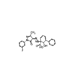 CC1=NN(c2cccc(F)c2)C(=O)C1=NNC1(C(=O)O)C=CC=C(c2ccccc2)C1O